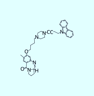 Cc1cc2c(cc1OCCCCN1CCN(CCCCn3c4ccccc4c4ccccc43)CC1)N=C[C@@H]1CCCN1C2=O